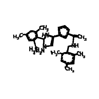 C=C(NCc1c(C)cc(C)cc1C)c1cccc(C2=CN(N)C(c3c(C)cc(C)cc3C)N2)c1